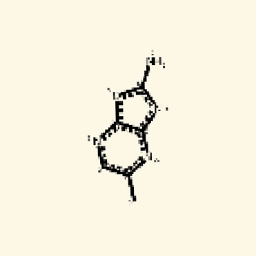 Cc1[c]nc2oc(N)nc2n1